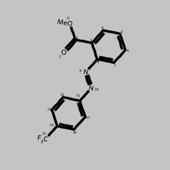 COC(=O)c1ccccc1N=Nc1ccc(C(F)(F)F)cc1